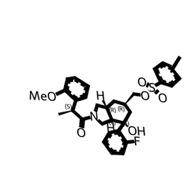 COc1ccccc1[C@H](C)C(=O)N1C[C@@H]2C[C@@H](COS(=O)(=O)c3ccc(C)cc3)C[C@@](O)(c3ccccc3F)[C@@H]2C1